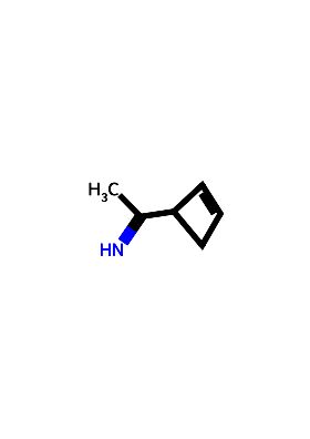 CC(=N)C1C=CC1